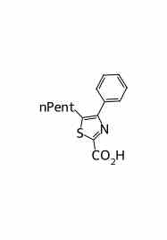 CCCCCc1sc(C(=O)O)nc1-c1ccccc1